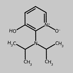 CC(C)N(c1c(O)ccc[n+]1[O-])C(C)C